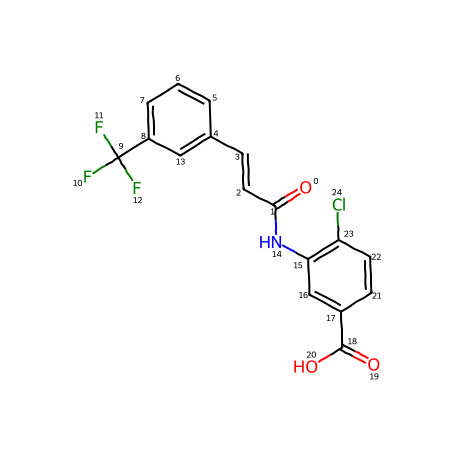 O=C(/C=C/c1cccc(C(F)(F)F)c1)Nc1cc(C(=O)O)ccc1Cl